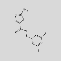 Nc1ncc(C(=O)NCc2cc(F)cc(F)c2)s1